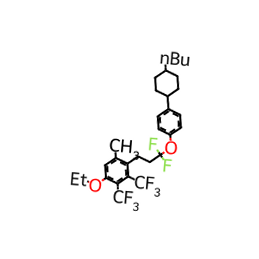 CCCCC1CCC(c2ccc(OC(F)(F)CCc3c(C)cc(OCC)c(C(F)(F)F)c3C(F)(F)F)cc2)CC1